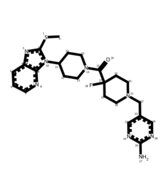 CSc1nc2cccnc2n1C1CCN(C(=O)C2(F)CCN(Cc3cnc(N)nc3)CC2)CC1